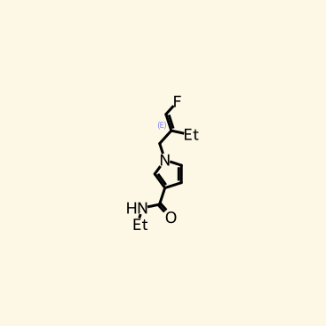 CCNC(=O)c1ccn(C/C(=C/F)CC)c1